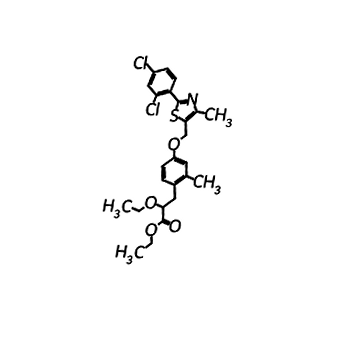 CCOC(=O)C(Cc1ccc(OCc2sc(-c3ccc(Cl)cc3Cl)nc2C)cc1C)OCC